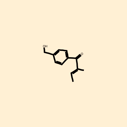 CC=C(C)C(=O)c1ccc(CO)cc1